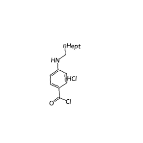 CCCCCCCCNc1ccc(C(=O)Cl)cc1.Cl